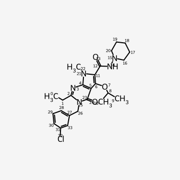 CCc1nc2c(c(OC(C)C)c(C(=O)NN3CCCCC3)n2C)c(=O)n1Cc1cccc(Cl)c1